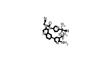 CC(C)(C#N)c1ccc(-n2c(=O)n(CC#N)c3cnc4ccc(-c5cnc(N)c(C(F)(F)F)c5)cc4c32)cn1